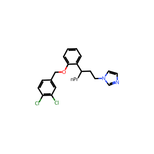 CCCC(CCn1ccnc1)c1ccccc1OCc1ccc(Cl)c(Cl)c1